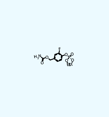 CCOP(=O)(OCC)Oc1ccc(COC(N)=O)cc1F